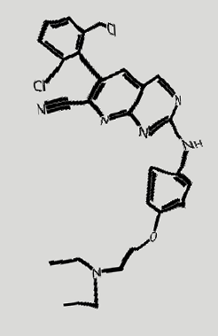 CCN(CC)CCOc1ccc(Nc2ncc3cc(-c4c(Cl)cccc4Cl)c(C#N)nc3n2)cc1